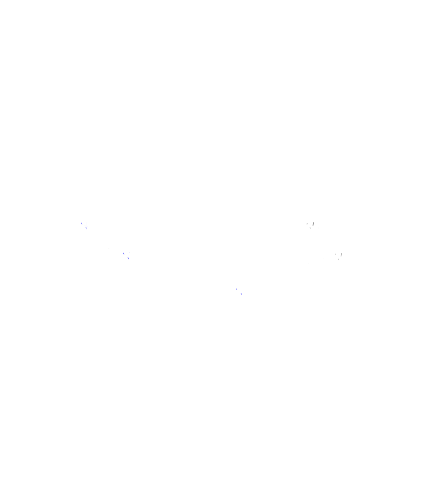 CCNCC(=O)N1CCC(c2ccc3[nH]c(-c4ccc(OC)c(OC)c4)c(CC(C)C)c3c2)CC1